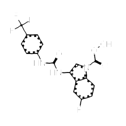 COC(=O)n1cc(NC(=O)Nc2ccc(C(F)(F)F)cc2)c2cc(F)ccc21